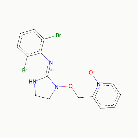 [O-][n+]1ccccc1CON1CCN/C1=N\c1c(Br)cccc1Br